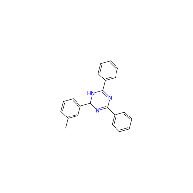 Cc1cccc(C2N=C(c3ccccc3)N=C(c3ccccc3)N2)c1